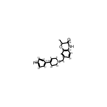 CC1Oc2cc(CN3CC=C(c4ccc(F)cc4)CC3)ccc2NC1=O